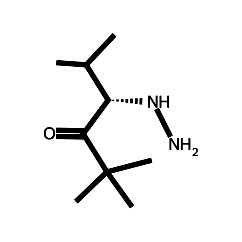 CC(C)[C@H](NN)C(=O)C(C)(C)C